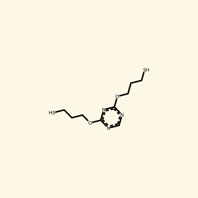 SCCCOc1ncnc(OCCCS)n1